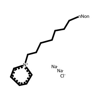 CCCCCCCCCCCCCCCC[n+]1ccccc1.[Cl-].[Na].[Na]